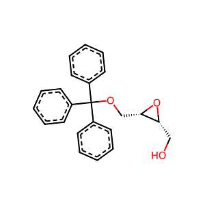 OC[C@H]1O[C@H]1COC(c1ccccc1)(c1ccccc1)c1ccccc1